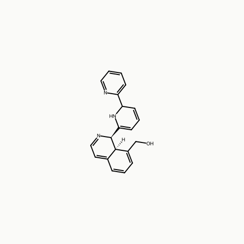 OCC1=CC=CC2=CC=N[C@@H](C3=CC=CC(c4ccccn4)N3)[C@H]21